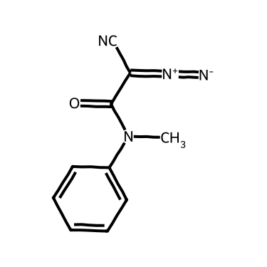 CN(C(=O)C(C#N)=[N+]=[N-])c1ccccc1